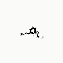 CC(C)(C)CCc1cccc(OCC(C)(C)C)c1